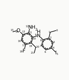 CCc1cc(I)ccc1Nc1c(N)c(OC)cc(F)c1CC